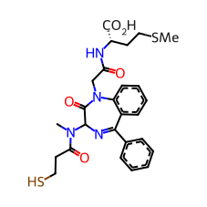 CSCC[C@H](NC(=O)CN1C(=O)C(N(C)C(=O)CCS)N=C(c2ccccc2)c2ccccc21)C(=O)O